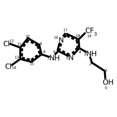 OCCNc1nc(Nc2ccc(Cl)c(Cl)c2)ncc1C(F)(F)F